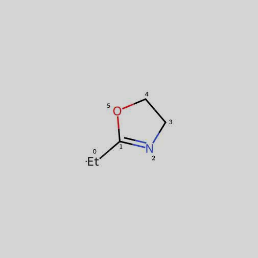 C[CH]C1=NCCO1